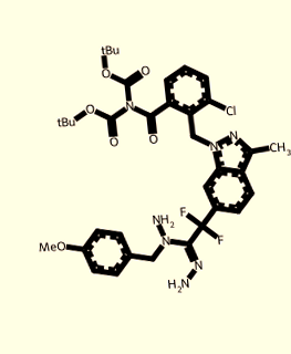 COc1ccc(CN(N)/C(=N\N)C(F)(F)c2ccc3c(C)nn(Cc4c(Cl)cccc4C(=O)N(C(=O)OC(C)(C)C)C(=O)OC(C)(C)C)c3c2)cc1